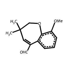 COc1cccc2c1OCC(C)(C)C=C2C=O